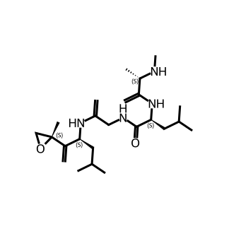 C=C(CNC(=O)[C@H](CC(C)C)NC(=C)[C@H](C)NC)N[C@@H](CC(C)C)C(=C)[C@@]1(C)CO1